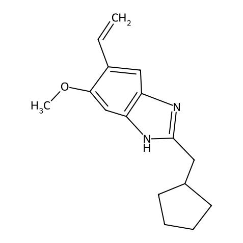 C=Cc1cc2nc(CC3CCCC3)[nH]c2cc1OC